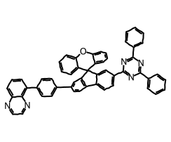 c1ccc(-c2nc(-c3ccccc3)nc(-c3ccc4c(c3)C3(c5ccccc5Oc5ccccc53)c3cc(-c5ccc(-c6cccc7nccnc67)cc5)ccc3-4)n2)cc1